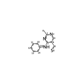 Cc1ncc(C=S)c(Nc2ccccc2)n1